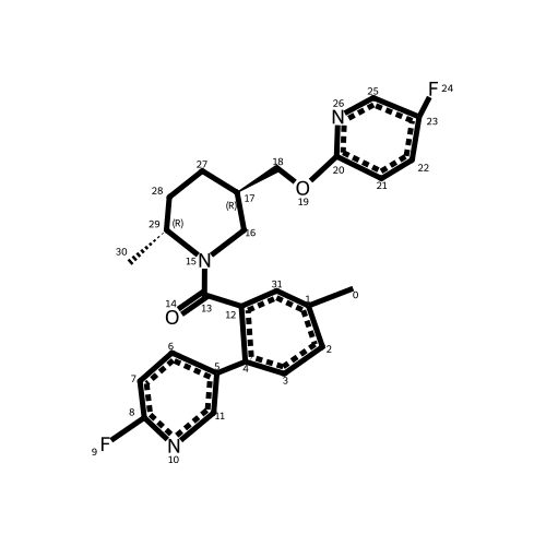 Cc1ccc(-c2ccc(F)nc2)c(C(=O)N2C[C@H](COc3ccc(F)cn3)CC[C@H]2C)c1